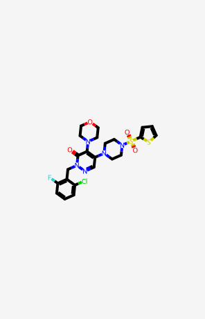 O=c1c(N2CCOCC2)c(N2CCN(S(=O)(=O)c3cccs3)CC2)cnn1Cc1c(F)cccc1Cl